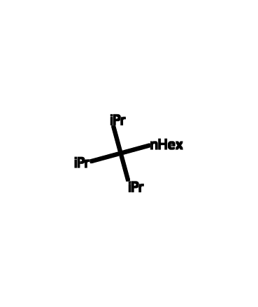 CCCCCCC(C(C)C)(C(C)C)C(C)C